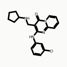 O=c1c(CNC2CCCC2)c(Nc2cccc(Cl)c2)nc2ccccn12